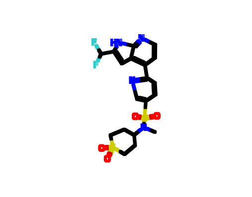 CN(C1CCS(=O)(=O)CC1)S(=O)(=O)c1ccc(-c2ccnc3[nH]c(C(F)F)cc23)nc1